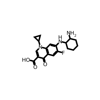 NC1CCCCC1Nc1cc2c(cc1F)c(=O)c(C(=O)O)cn2C1CC1